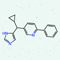 c1ccc(-c2ccc(C(c3cnc[nH]3)C3CC3)cn2)cc1